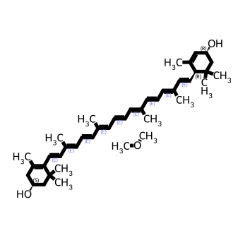 CC1=C[C@H](O)CC(C)(C)[C@H]1/C=C/C(C)=C/C=C/C(C)=C/C=C/C=C(C)/C=C/C=C(C)/C=C/C1=C(C)C[C@@H](O)CC1(C)C.COC